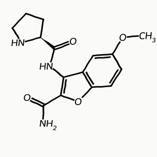 COc1ccc2oc(C(N)=O)c(NC(=O)[C@@H]3CCCN3)c2c1